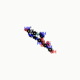 CNc1ccc(CN2CCN(C3CC4(C3)CN(c3ccc(C(=O)NS(=O)(=O)c5ccc(NC[C@H]6CC[C@](C)(O)CC6)c([N+](=O)[O-])c5)c(Oc5cnc6[nH]cc(F)c6c5)c3)C4)[C@H](c3ccccc3C(C)C)C2)cc1OC